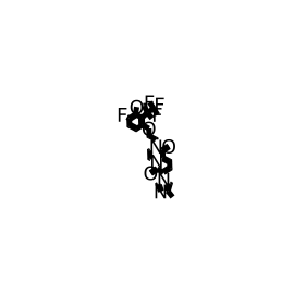 Cc1cn(-c2ccc3n(c2=O)CCN(CCOc2ccc(F)c4c2C(C)(C(F)(F)F)CO4)C3=O)cn1